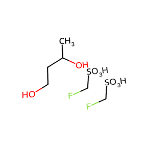 CC(O)CCO.O=S(=O)(O)CF.O=S(=O)(O)CF